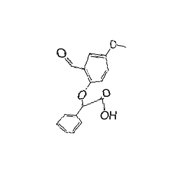 COc1ccc(OC(C(=O)O)c2ccccc2)c(C=O)c1